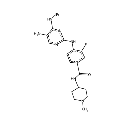 CC(C)Nc1nc(Nc2ccc(C(=O)NC3CCN(C)CC3)cc2F)ncc1N